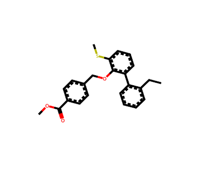 CCc1ccccc1-c1cccc(SC)c1OCc1ccc(C(=O)OC)cc1